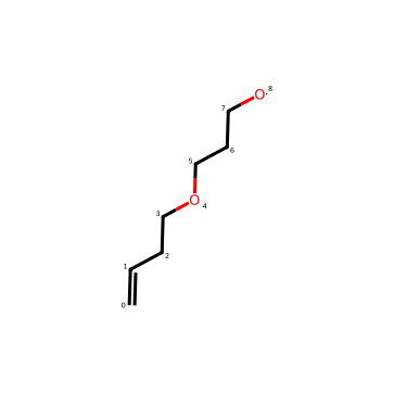 C=CCCOCCC[O]